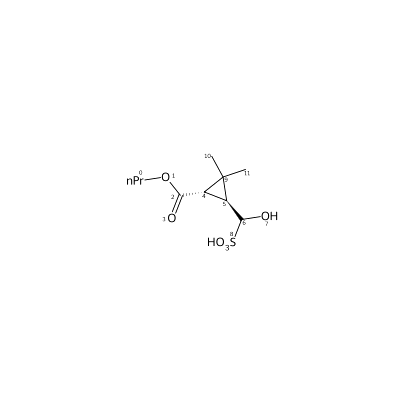 CCCOC(=O)[C@H]1[C@H](C(O)S(=O)(=O)O)C1(C)C